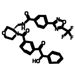 O=C(NC[C@H]1COCCN1C(=O)c1cccc(C(=O)C(O)c2ccccc2)c1)c1ccc(-c2noc(C(F)(F)F)n2)cc1